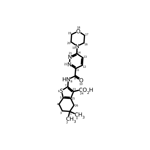 CC1(C)CCc2sc(NC(=O)c3ccc(N4CCOCC4)nn3)c(C(=O)O)c2C1